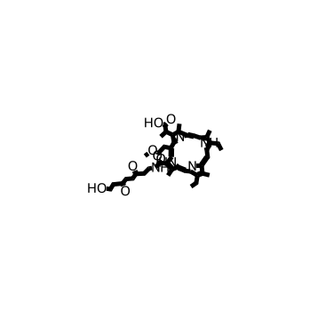 CCC1=C(C)c2cc3[nH]c(cc4nc(c(CC(=O)OC)c5[nH]c(cc1n2)c(C)c5C(=O)NCCC(=O)CCC(=O)CCO)C(C(C)C(=O)O)C4C)c(C)c3CC